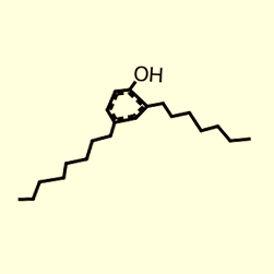 CCCCCCCCc1ccc(O)c(CCCCCCC)c1